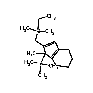 CC[Si](C)(C)CC1=CC2=C(CCCC2)[C]1(C)[Ti]([CH3])([CH3])[CH3]